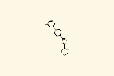 Fc1cccc(-c2ccc(-c3noc(C4COCCN4)n3)nc2)c1